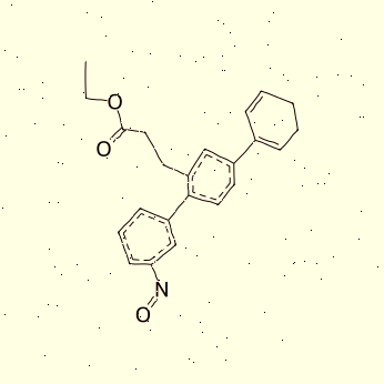 CCOC(=O)CCc1cc(C2=CCCC=C2)ccc1-c1cccc(N=O)c1